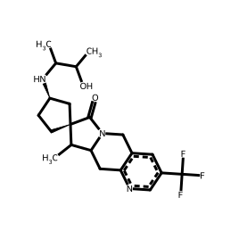 CC(O)C(C)N[C@@H]1CC[C@@]2(C1)C(=O)N1Cc3cc(C(F)(F)F)cnc3CC1C2C